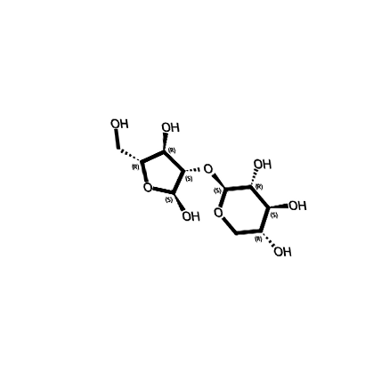 OC[C@H]1O[C@H](O)[C@@H](O[C@@H]2OC[C@@H](O)[C@H](O)[C@H]2O)[C@@H]1O